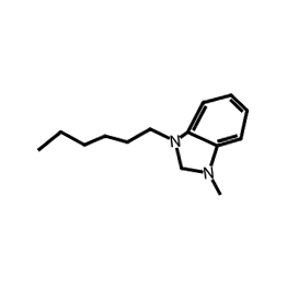 CCCCCCN1CN(C)c2ccccc21